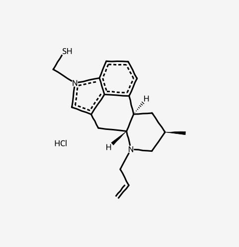 C=CCN1C[C@H](C)C[C@@H]2c3cccc4c3c(cn4CS)C[C@H]21.Cl